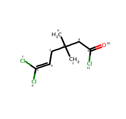 CC(C)(CC=C(Cl)Cl)CC(=O)Cl